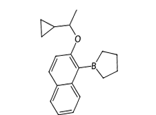 CC(Oc1ccc2ccccc2c1B1CCCC1)C1CC1